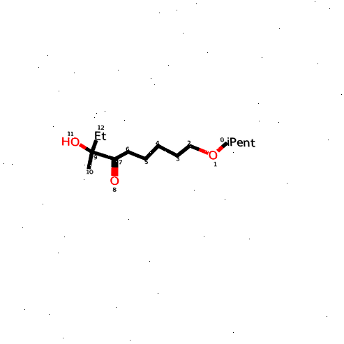 CCCC(C)OCCCCCC(=O)C(C)(O)CC